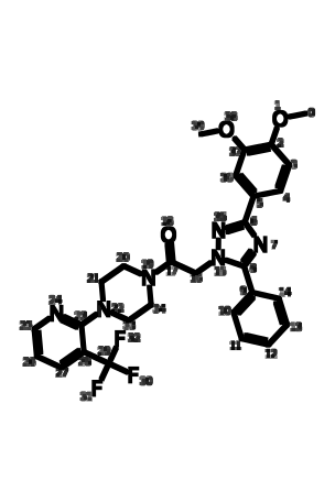 COc1ccc(-c2nc(-c3ccccc3)n(CC(=O)N3CCN(c4ncccc4C(F)(F)F)CC3)n2)cc1OC